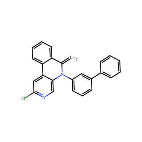 C=C1c2ccccc2-c2cc(Cl)ncc2N1c1cccc(-c2ccccc2)c1